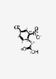 O=C(O)Sc1ccc(Cl)cc1[N+](=O)[O-]